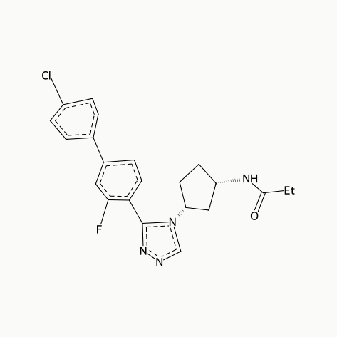 CCC(=O)N[C@H]1CC[C@@H](n2cnnc2-c2ccc(-c3ccc(Cl)cc3)cc2F)C1